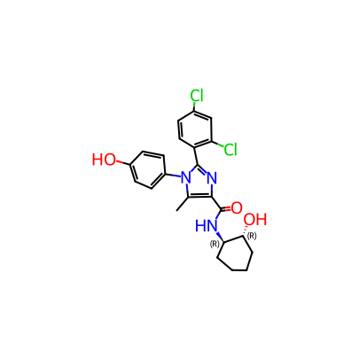 Cc1c(C(=O)N[C@@H]2CCCC[C@H]2O)nc(-c2ccc(Cl)cc2Cl)n1-c1ccc(O)cc1